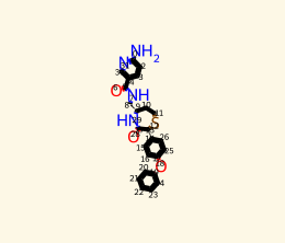 Nc1ccc(C(=O)NC[C@@H]2CCS[C@H](c3ccc(Oc4ccccc4)cc3)C(=O)N2)cn1